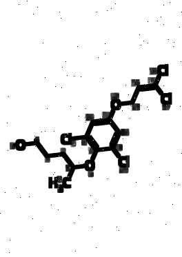 CC(CCC[O])Oc1c(Cl)cc(OCC=C(Cl)Cl)cc1Cl